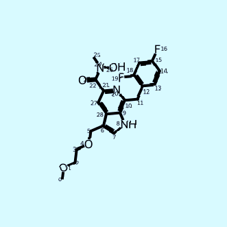 COCCOCc1c[nH]c2c(Cc3ccc(F)cc3F)nc(C(=O)N(C)O)cc12